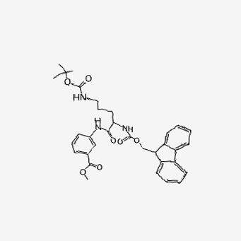 COC(=O)c1cccc(NC(=O)C(CCCNC(=O)OC(C)(C)C)NC(=O)OCC2c3ccccc3-c3ccccc32)c1